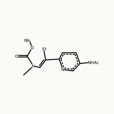 CCC(=CN(C)C(=O)OC(C)(C)C)c1ccc(NC(C)=O)cn1